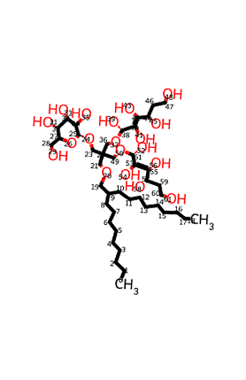 CCCCCCCCCC(CCCCCCCCC)COCC(CO[C@@H]1OC(CO)[C@@H](O)C(O)C1O)(CO[C@H](O)/C(O)=C(\O)[C@H](O)CCO)CO[C@H](O)/C(O)=C(\O)[C@H](O)CCO